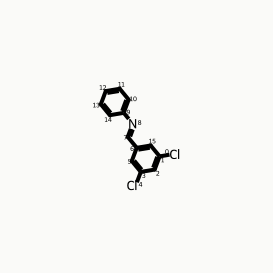 Clc1cc(Cl)cc(C=Nc2ccccc2)c1